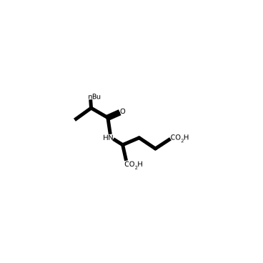 CCCCC(C)C(=O)NC(CCC(=O)O)C(=O)O